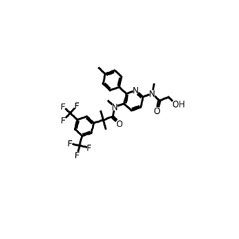 Cc1ccc(-c2nc(N(C)C(=O)CO)ccc2N(C)C(=O)C(C)(C)c2cc(C(F)(F)F)cc(C(F)(F)F)c2)cc1